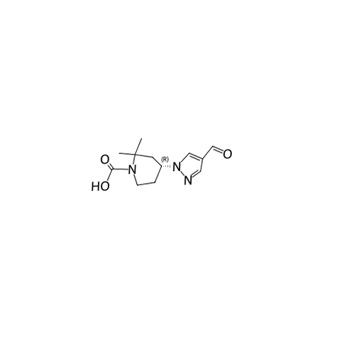 CC1(C)C[C@H](n2cc(C=O)cn2)CCN1C(=O)O